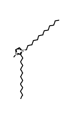 CCCCCCCCCCCCC[n+]1ccn(C)c1CCCCCCCCCCCC